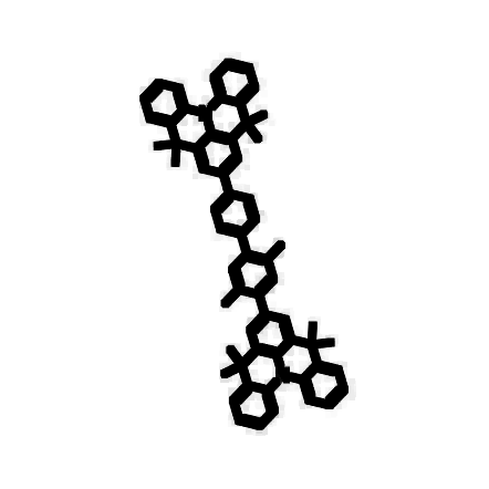 Cc1cc(-c2cc3c4c(c2)C(C)(C)c2ccccc2N4c2ccccc2C3(C)C)c(C)cc1-c1ccc(-c2cc3c4c(c2)C(C)(C)c2ccccc2N4c2ccccc2C3(C)C)cc1